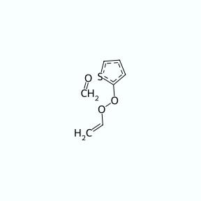 C=COOc1cccs1.C=O